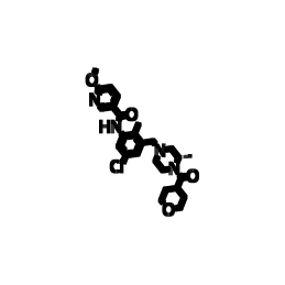 COc1ccc(C(=O)Nc2cc(Cl)cc(CN3CCN(C(=O)C4CCOCC4)[C@@H](C)C3)c2C)cn1